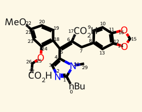 CCCCc1ncc(C(=C(Cc2ccc3c(c2)OCO3)C(=O)O)c2ccc(OC)cc2OCC(=O)O)n1C